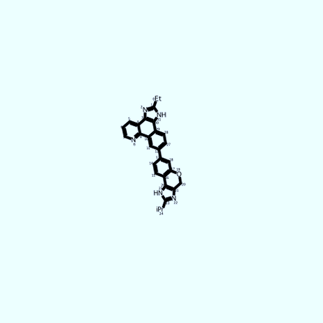 CCc1nc2c3cccnc3c3cc(-c4ccc5c(c4)OCc4nc(C(C)C)[nH]c4-5)ccc3c2[nH]1